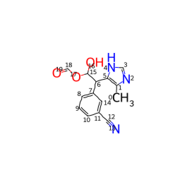 Cc1nc[nH]c1C(c1cccc(C#N)c1)C(O)OC=O